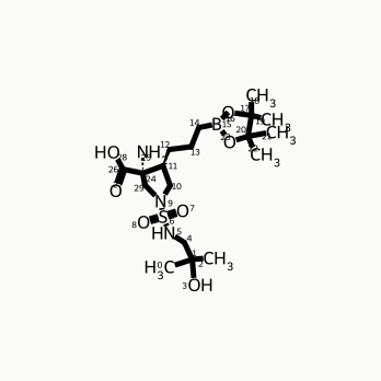 CC(C)(O)CNS(=O)(=O)N1C[C@H](CCCB2OC(C)(C)C(C)(C)O2)[C@](N)(C(=O)O)C1